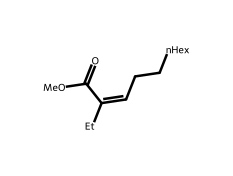 CCCCCCCCC=C(CC)C(=O)OC